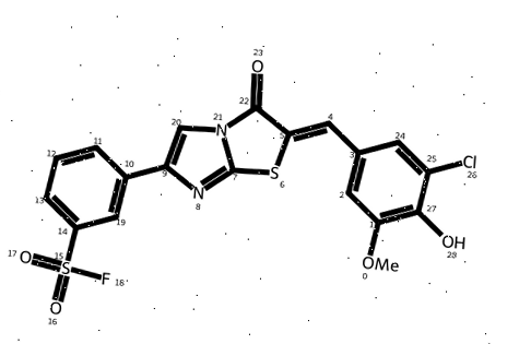 COc1cc(/C=c2\sc3nc(-c4cccc(S(=O)(=O)F)c4)cn3c2=O)cc(Cl)c1O